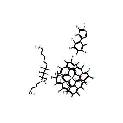 CCCCCCC(F)(F)C(F)(F)C(F)(F)[NH2+]CCCC.Fc1c(F)c(F)c2c([B-](c3c(F)c(F)c(F)c4c(F)c(F)c(F)c(F)c34)(c3c(F)c(F)c(F)c4c(F)c(F)c(F)c(F)c34)c3c(F)c(F)c(F)c4c(F)c(F)c(F)c(F)c34)c(F)c(F)c(F)c2c1F.Fc1ccc(-c2c(F)c(F)c(F)c(F)c2F)c(F)c1F